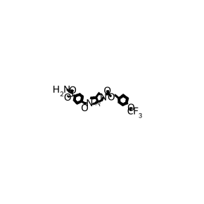 C[C@]12CN(C(=O)c3ccc(S(N)(=O)=O)cc3)C=C1CN(C(=O)OCc1ccc(OC(F)(F)F)cc1)C2